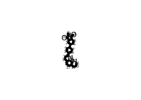 CN1C(=O)c2ccc(-c3ccc(-c4ccc5ccc6cccnc6c5n4)cc3)cc2C1=O